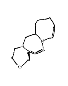 C1=CN2N=C3COCCN3CC2CC1